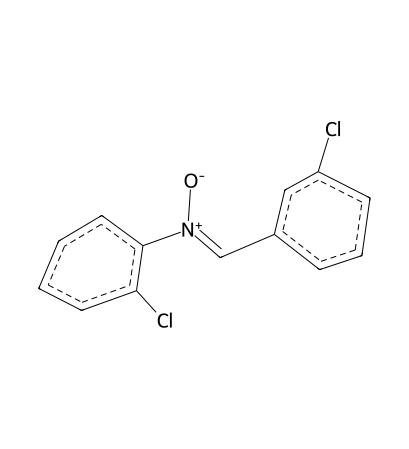 [O-][N+](=Cc1cccc(Cl)c1)c1ccccc1Cl